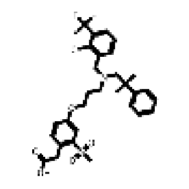 CC(C)(CN(CCCOc1ccc(CC(=O)O)c(S(C)(=O)=O)c1)Cc1cccc(C(F)(F)F)c1Cl)c1ccccc1